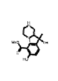 COC(=O)c1cc(C(C)(O)C2CNCCN2)ccc1O